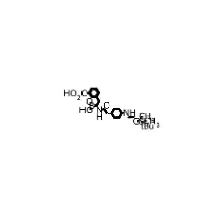 CC(C)(C)[Si](C)(C)OCCN[C@H]1CC[C@H](CC(=O)N[C@H]2Cc3cccc(C(=O)O)c3OB2O)CC1